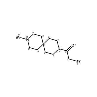 CC(C)CC(=O)N1CCC2(CC1)CCN(C(C)C)CC2